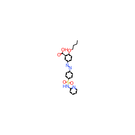 CCCCOc1ccc(/N=N/c2ccc(S(=O)(=O)Nc3ccccn3)cc2)cc1C(=O)O